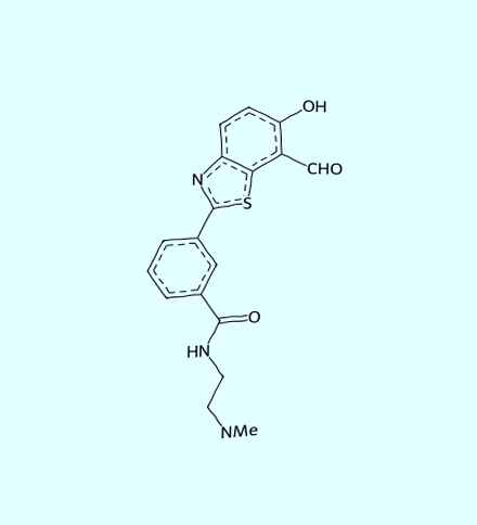 CNCCNC(=O)c1cccc(-c2nc3ccc(O)c(C=O)c3s2)c1